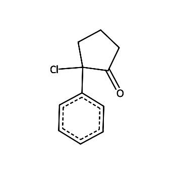 O=C1CCCC1(Cl)c1ccccc1